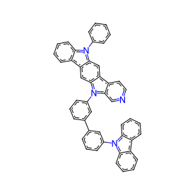 c1ccc(-n2c3ccccc3c3cc4c(cc32)c2ccncc2n4-c2cccc(-c3cccc(-n4c5ccccc5c5ccccc54)c3)c2)cc1